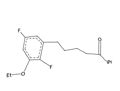 CCOc1cc(F)cc(CCCCC(=O)C(C)C)c1F